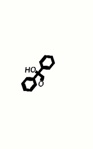 O=CC(O)(C1=CCCC=C1)c1ccccc1